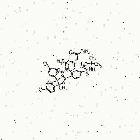 CCOc1cc(S(=O)(=O)NC(C)(C)C)ccc1C1=N[C@@](C)(c2ccc(Cl)cc2)[C@@](C)(c2ccc(Cl)cc2)N1C(=O)N1CCN(CC(N)=O)CC1